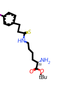 CC(C)(C)OC(=O)[C@@H](N)CCCCNC(=S)CCc1ccc(I)cc1